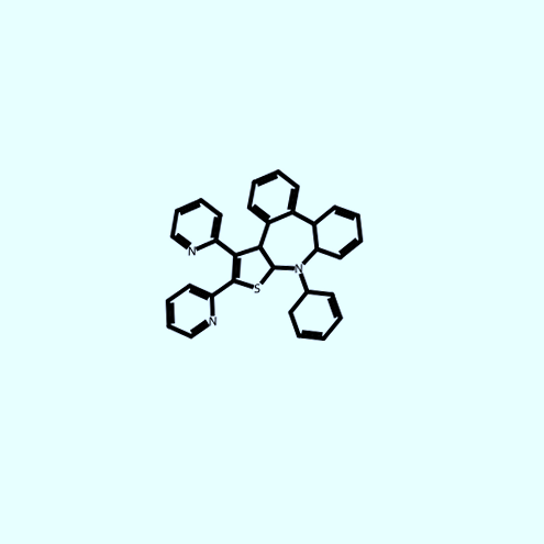 C1=CCC(N2C3C=CC=CC3c3ccccc3C3C(c4ccccn4)=C(c4ccccn4)SC32)C=C1